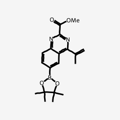 C=C(C)c1nc(C(=O)OC)nc2ccc(B3OC(C)(C)C(C)(C)O3)cc12